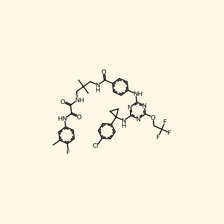 Cc1cc(NC(=O)C(=O)NCC(C)(C)CNC(=O)c2ccc(Nc3nc(NC4(c5ccc(Cl)cc5)CC4)nc(OCC(F)(F)F)n3)cc2)ccc1F